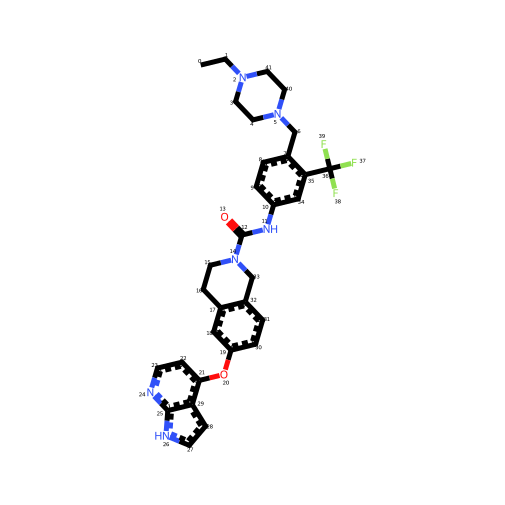 CCN1CCN(Cc2ccc(NC(=O)N3CCc4cc(Oc5ccnc6[nH]ccc56)ccc4C3)cc2C(F)(F)F)CC1